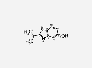 CC(C)c1nc2cc(O)ccc2s1